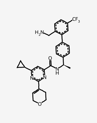 C[C@@H](NC(=O)c1cc(C2CC2)nc(C2=CCOCC2)n1)c1ccc(-c2cc(C(F)(F)F)ccc2CN)cc1